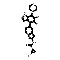 O=C(Nc1cc2cc(-c3c(Cl)c(F)c(N4CCSCC4)c4[nH]ncc34)ccn2n1)[C@@H]1C[C@@H]1F